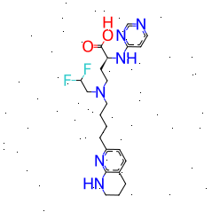 O=C(O)[C@H](CCN(CCCCc1ccc2c(n1)NCCC2)CC(F)F)Nc1ccncn1